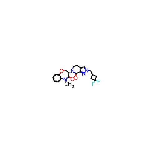 CN1C(=O)[C@@H](N2CCc3cn(CC4CC(F)(F)C4)nc3C2=O)COc2ccccc21